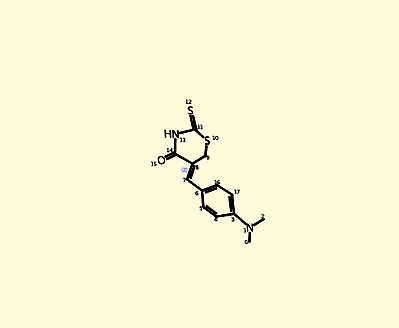 CN(C)c1ccc(/C=C2\CSC(=S)NC2=O)cc1